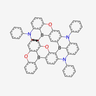 c1ccc(N2c3ccccc3B3c4cc5c(cc4Oc4cccc2c43)N(c2ccccc2)c2cccc3c2B5c2c(ccc4c2Oc2cccc5c2B4c2ccccc2O5)N3c2ccccc2)cc1